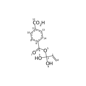 C=CC(O)(O)OC(=O)c1ccc(C(=O)O)cc1